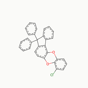 Clc1cccc2c1Oc1ccc3c(c1O2)-c1ccccc1C3(c1ccccc1)c1ccccc1